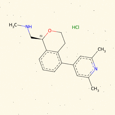 CNC[C@H]1OCCc2c(-c3cc(C)nc(C)c3)cccc21.Cl